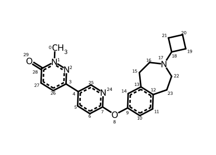 Cn1nc(-c2ccc(Oc3ccc4c(c3)CCN(C3CCC3)CC4)nc2)ccc1=O